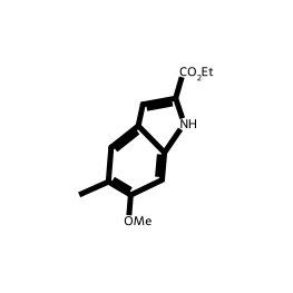 CCOC(=O)c1cc2cc(C)c(OC)cc2[nH]1